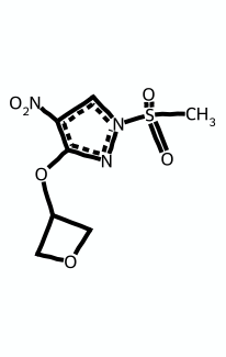 CS(=O)(=O)n1cc([N+](=O)[O-])c(OC2COC2)n1